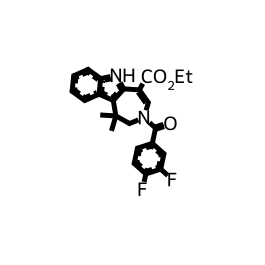 CCOC(=O)C1=CN(C(=O)c2ccc(F)c(F)c2)CC(C)(C)c2c1[nH]c1ccccc21